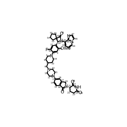 COc1cc(N2CCC(CN3CCN(c4ccc5c(c4)CN([C@H]4CCC(=O)NC4=O)C5=O)CC3)CC2)c(F)cc1[C@@H]1N(c2cccn3ccnc23)C(=O)C12CCCC2